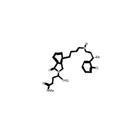 CCN(CCCCc1cccc2c1CN(C(C=O)CCC(=O)NC)C2=O)CC[C@H](C#N)c1ccccc1Cl